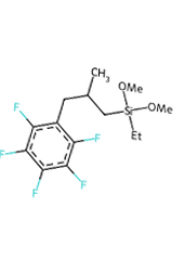 CC[Si](CC(C)Cc1c(F)c(F)c(F)c(F)c1F)(OC)OC